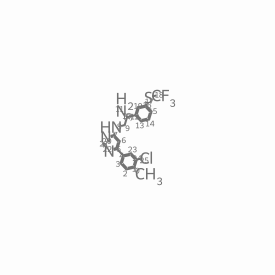 Cc1ccc(-c2cc(NC[C@H](N)c3cccc(SC(F)(F)F)c3)ncn2)cc1Cl